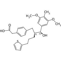 COc1cc([C@@H](O)[C@@H](CCCc2cccs2)Cc2ccc(CC(=O)O)cc2)cc(OC)c1C